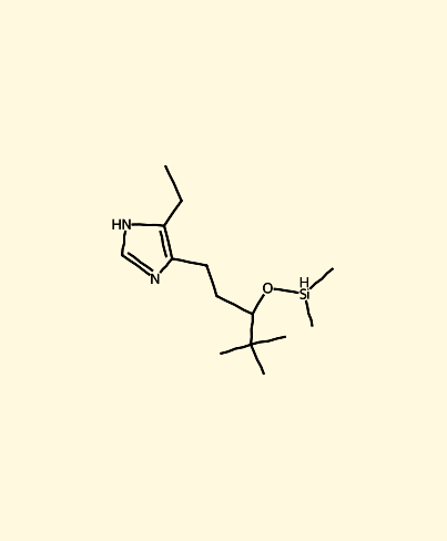 CCc1[nH]cnc1CCC(O[SiH](C)C)C(C)(C)C